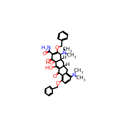 CN(C)c1ccc(OCc2ccccc2)c2c1C[C@H]1C[C@H]3[C@H](N(C)C)C(OCc4ccccc4)=C(C(N)=O)C(=O)[C@@]3(O)C(O)=C1C2=O